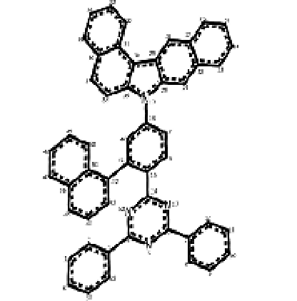 c1ccc(-c2nc(-c3ccccc3)nc(-c3ccc(-n4c5cc6ccccc6cc5c5c6ccccc6ccc54)cc3-c3cccc4ccccc34)n2)cc1